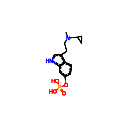 CN(CCc1c[nH]c2cc(OP(=O)(O)O)ccc12)C1CC1